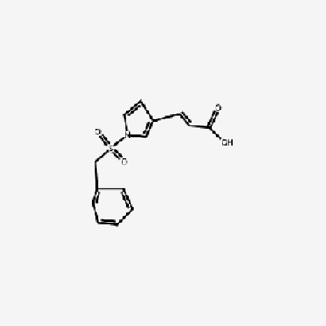 O=C(O)C=Cc1ccn(S(=O)(=O)Cc2ccccc2)c1